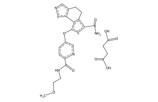 COCCNC(=O)c1ccc(Oc2sc(C(N)=O)c3c2-c2sncc2CC3)cn1.O=C(O)CCC(=O)O